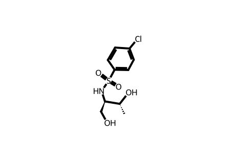 C[C@@H](O)[C@@H](CO)NS(=O)(=O)c1ccc(Cl)cc1